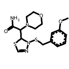 COc1cccc(CSN2N=CSC2C(C(N)=O)N2CCOCC2)c1